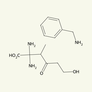 CC(C(=O)CCO)C(N)(N)C(=O)O.NCc1ccccc1